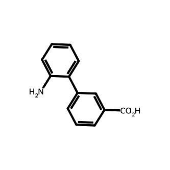 Nc1ccccc1-c1cccc(C(=O)O)c1